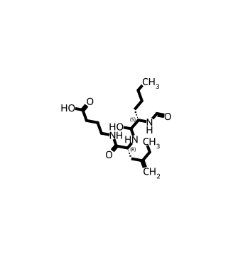 C=C(CC)C[C@@H](NC(O)[C@H](CCCC)NC=O)C(=O)NCCCC(=O)O